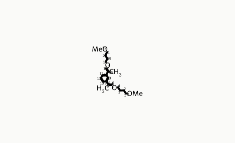 COCCCCOC=C(C)c1cccc(C(C)=COCCCCOC)c1